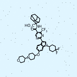 O=C(NC1(C(=O)O)C2CC3CC(C2)CC1C3)c1cnc(-c2cn(C3CCC(F)(F)CC3)c3cc(OC4CCN(C5CCOCC5)CC4)ccc23)nc1C(F)(F)F